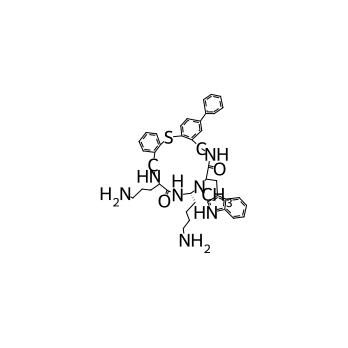 CN1C(Cc2c[nH]c3ccccc23)C(=O)NCc2cc(-c3ccccc3)ccc2Sc2ccccc2CNC(CCCN)C(=O)N[C@H]1CCCCN